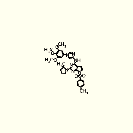 COc1cc(-n2cnc(Nc3nc(N4CCC[C@H]4C)nc4c3ccn4S(=O)(=O)c3ccc(C)cc3)c2)cc(OC)c1OC